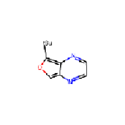 CC(C)(C)c1occ2nccnc12